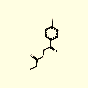 CCC(=O)OCC(=O)c1ccc(Br)cc1